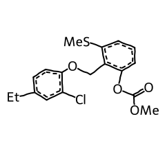 CCc1ccc(OCc2c(OC(=O)OC)cccc2SC)c(Cl)c1